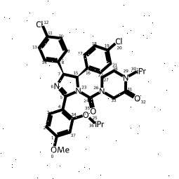 COc1ccc(C2=N[C@@H](c3ccc(Cl)cc3)[C@@H](c3ccc(Cl)cc3)N2C(=O)N2CCN(C(C)C)C(=O)C2)c(OC(C)C)c1